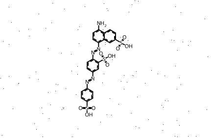 Nc1ccc(N=Nc2ccc(N=Nc3ccc(S(=O)(=O)O)cc3)cc2S(=O)(=O)O)c2cc(S(=O)(=O)O)ccc12